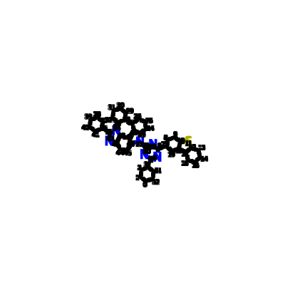 c1ccc(-c2nc(-c3ccc4sc5ccccc5c4c3)nc(-n3c4cccc5c6ccccc6n6c(-c7ccccc7)nc7ccc3c(c54)c76)n2)cc1